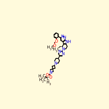 CC[C@H]1c2c([nH]c3nnc(-c4ccccc4OCOC)cc23)CCN1c1ncc(C2CCN(C3CC4(C3)CN(C(=O)OC(C)(C)C)C4)CC2)cn1